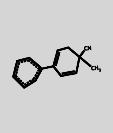 CC1(C#N)C=CC(c2ccccc2)=CC1